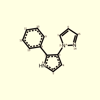 C1=C[N+](c2cc[nH]c2-c2ccccc2)N=C1